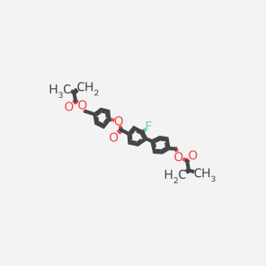 C=C(C)C(=O)OCc1ccc(OC(=O)c2ccc(-c3ccc(COC(=O)C(=C)C)cc3)c(F)c2)cc1